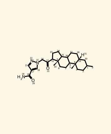 CC1CC[C@]2(C)C3CC[C@]4(C)C(C(=O)Cn5cc(C(N)=O)cn5)CCC4C3CC[C@@H]2C1